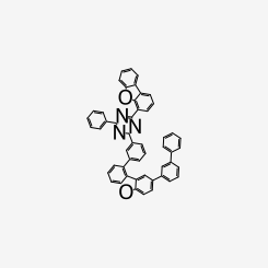 c1ccc(-c2cccc(-c3ccc4oc5cccc(-c6cccc(-c7nc(-c8ccccc8)nc(-c8cccc9c8oc8ccccc89)n7)c6)c5c4c3)c2)cc1